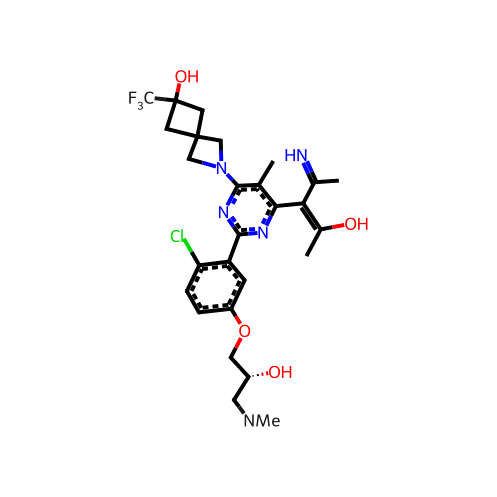 CNC[C@@H](O)COc1ccc(Cl)c(-c2nc(/C(C(C)=N)=C(\C)O)c(C)c(N3CC4(C3)CC(O)(C(F)(F)F)C4)n2)c1